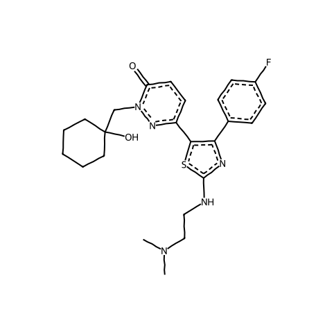 CN(C)CCNc1nc(-c2ccc(F)cc2)c(-c2ccc(=O)n(CC3(O)CCCCC3)n2)s1